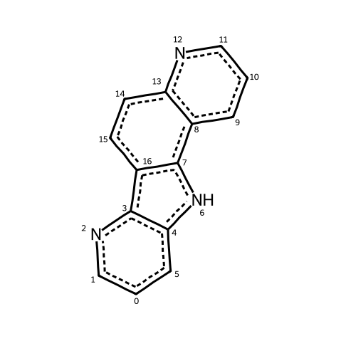 c1cnc2c(c1)[nH]c1c3cccnc3ccc21